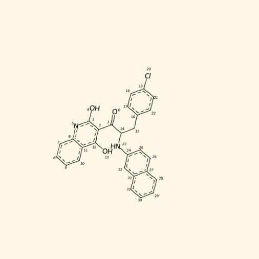 O=C(c1c(O)nc2ccccc2c1O)C(Cc1ccc(Cl)cc1)Nc1ccc2ccccc2c1